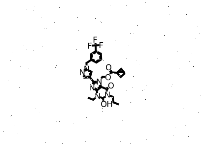 CCCN1C(=O)c2c(nc(-c3cnn(Cc4cccc(C(F)(F)F)c4)c3)n2COC(=O)C23CC(C2)C3)N(CC)C1O